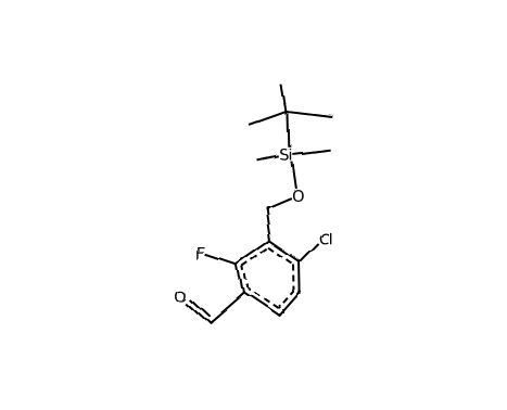 CC(C)(C)[Si](C)(C)OCc1c(Cl)ccc(C=O)c1F